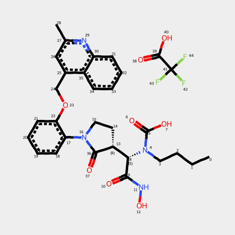 CCCCN(C(=O)O)[C@H](C(=O)NO)[C@H]1CCN(c2ccccc2OCc2cc(C)nc3ccccc23)C1=O.O=C(O)C(F)(F)F